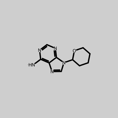 [NH]c1ncnc2c1ncn2C1CCCCO1